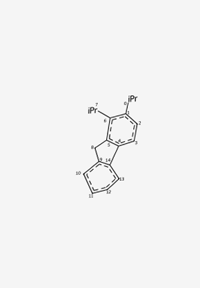 CC(C)c1ccc2c(c1C(C)C)Cc1ccccc1-2